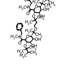 CC(C)OC(C)(C)[C@@H]1OC(C(=O)N(C)CC2OCCO2)[C@@H](OC(C)(C)CCOC(C)(C)[C@@H]2OC(C(=O)N(C)Cc3ccccc3)[C@@H](OC(C)(C)C(C)C)[C@H](O)[C@@H]2O)[C@H](O)[C@@H]1O